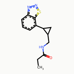 CCC(=O)NCC1CC1c1cccc2nnsc12